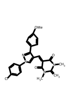 C=c1n(C)c(=O)c(=Cc2cn(-c3ccc(Cl)cc3)nc2-c2ccc(OC)cc2)c(=O)n1C